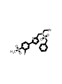 CC(C)CN(Cc1ccc(-c2ccc(S(C)(=O)=O)c(F)c2)s1)S(=O)(=O)Cc1ccccc1